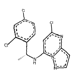 C[C@@H](Nc1cc(Cl)nc2ccnn12)c1ccc(Cl)cc1Cl